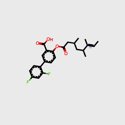 C/C=C(\C)C(C)CC(C)CC(=O)Oc1ccc(-c2ccc(F)cc2F)cc1C(=O)O